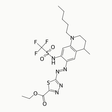 CCCCCN1CCC(C)c2cc(N=Nc3nnc(C(=O)OCC)s3)c(NS(=O)(=O)C(F)(F)F)cc21